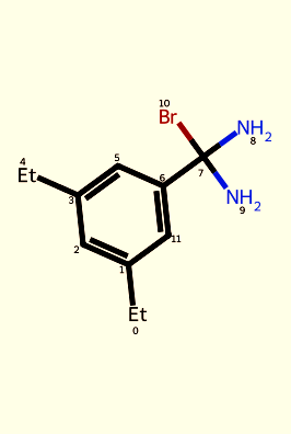 CCc1cc(CC)cc(C(N)(N)Br)c1